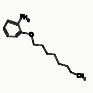 CCCCCCCCOc1ccccc1P